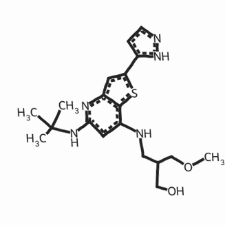 COCC(CO)CNc1cc(NC(C)(C)C)nc2cc(-c3ccn[nH]3)sc12